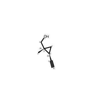 C#C[C@@H]1C[C@@]1(C)CO